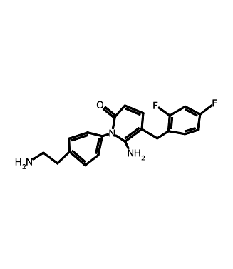 NCCc1ccc(-n2c(N)c(Cc3ccc(F)cc3F)ccc2=O)cc1